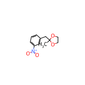 CC1(Cc2cccc([N+](=O)[O-])c2)OCCO1